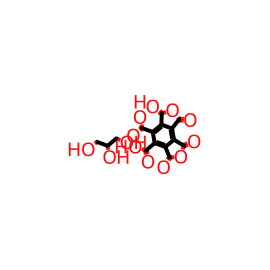 O=C(O)c1c(C(=O)O)c2c(=O)oc(=O)c2c2c(=O)oc(=O)c12.OCC(O)CO